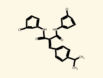 CC(C)c1ccc(C=C(C(=O)Nc2cccc(Cl)c2)C(=O)Nc2cccc(Cl)c2)cc1